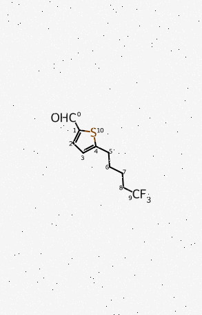 O=Cc1ccc(CCCCC(F)(F)F)s1